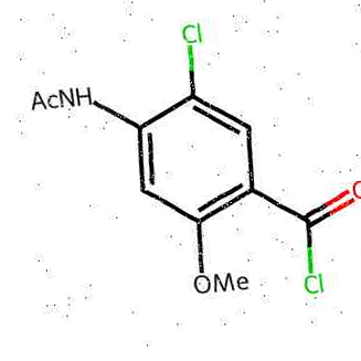 COc1cc(NC(C)=O)c(Cl)cc1C(=O)Cl